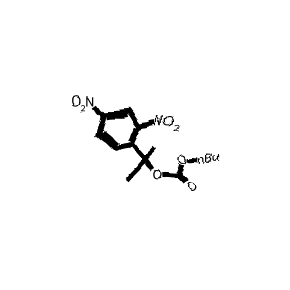 CCCCOC(=O)OC(C)(C)c1ccc([N+](=O)[O-])cc1[N+](=O)[O-]